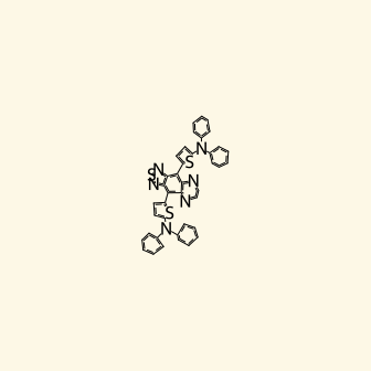 c1ccc(N(c2ccccc2)c2ccc(-c3c4nccnc4c(-c4ccc(N(c5ccccc5)c5ccccc5)s4)c4nsnc34)s2)cc1